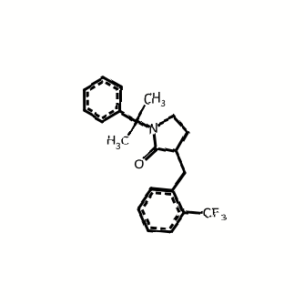 CC(C)(c1ccccc1)N1CCC(Cc2ccccc2C(F)(F)F)C1=O